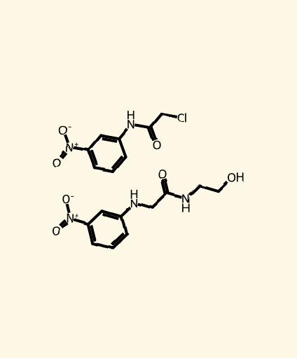 O=C(CCl)Nc1cccc([N+](=O)[O-])c1.O=C(CNc1cccc([N+](=O)[O-])c1)NCCO